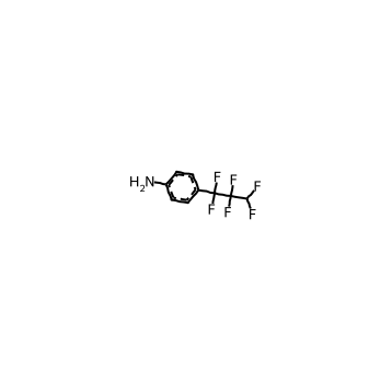 Nc1ccc(C(F)(F)C(F)(F)C(F)F)cc1